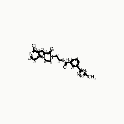 Cc1nc(-c2cccc(C(=O)NCCN3CCn4c(cc5c(Cl)nccc54)C3=O)c2)no1